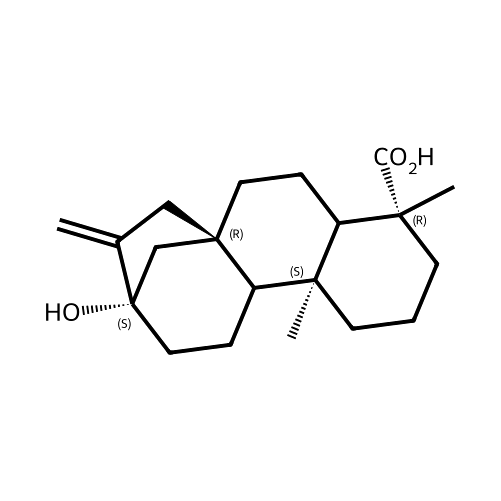 C=C1C[C@@]23CCC4[C@@](C)(CCC[C@@]4(C)C(=O)O)C2CC[C@]1(O)C3